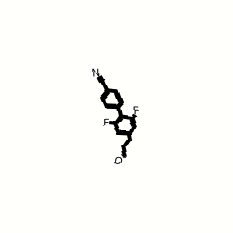 N#Cc1ccc(-c2c(F)cc(CCC=O)cc2F)cc1